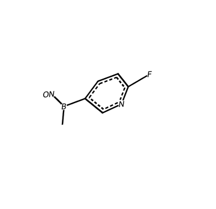 CB(N=O)c1ccc(F)nc1